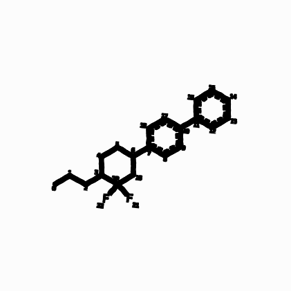 CCCC1CCC(c2ccc(-c3ccccc3)cc2)CC1(F)F